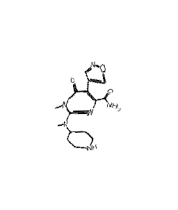 CN(c1nc(C(N)=O)c(-c2cnoc2)c(=O)n1C)C1CCNCC1